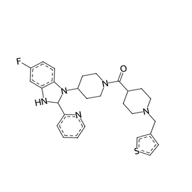 O=C(C1CCN(Cc2ccsc2)CC1)N1CCC(N2c3ccc(F)cc3NC2c2ccccn2)CC1